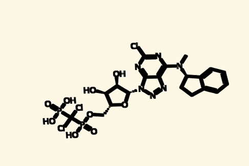 CN(c1nc(Cl)nc2c1nnn2[C@@H]1O[C@H](COP(=O)(O)C(Cl)(Cl)P(=O)(O)O)[C@@H](O)[C@H]1O)[C@@H]1CCc2ccccc21